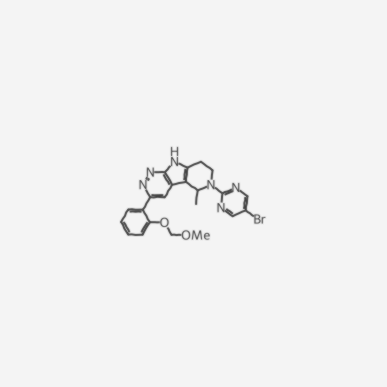 COCOc1ccccc1-c1cc2c3c([nH]c2nn1)CCN(c1ncc(Br)cn1)C3C